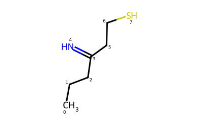 CCCC(=N)CCS